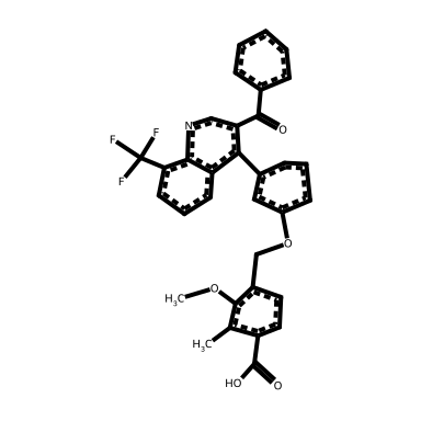 COc1c(COc2cccc(-c3c(C(=O)c4ccccc4)cnc4c(C(F)(F)F)cccc34)c2)ccc(C(=O)O)c1C